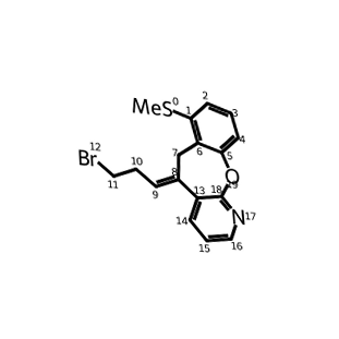 CSc1cccc2c1CC(=CCCBr)c1cccnc1O2